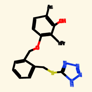 CCCc1c(OCc2ccccc2CSc2nnn[nH]2)ccc(C(C)=O)c1O